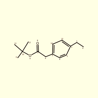 CCc1ccc(CC(=O)OC(C)(C)C)cc1